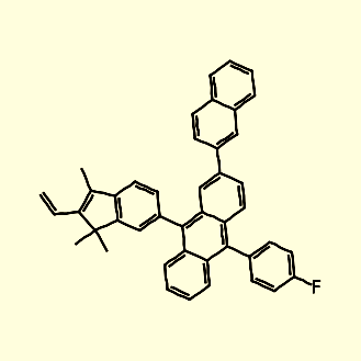 C=CC1=C(C)c2ccc(-c3c4ccccc4c(-c4ccc(F)cc4)c4ccc(-c5ccc6ccccc6c5)cc34)cc2C1(C)C